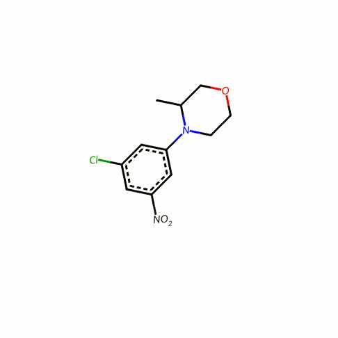 CC1COCCN1c1cc(Cl)cc([N+](=O)[O-])c1